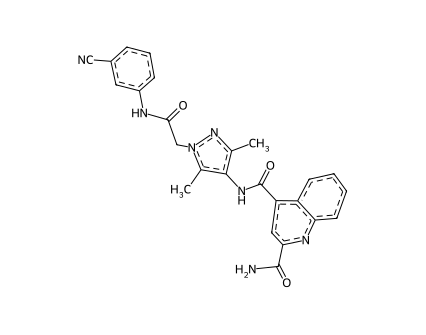 Cc1nn(CC(=O)Nc2cccc(C#N)c2)c(C)c1NC(=O)c1cc(C(N)=O)nc2ccccc12